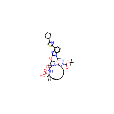 CC(C)n1c(O[C@H]2CN3C(=O)[C@@H](NC(=O)OC(C)(C)C)CCCCC/C=C\[C@@H]4C[C@@]4(C(=O)O)NC(=O)[C@@H]3[C@@H]2C)nc2c(-c3nc(C4CCCCC4)cs3)cccc21